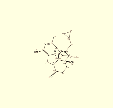 Cc1cc(O)c2c3c1C[C@H]1N(CC4CC4)CC[C@@]34C(O2)C(=O)CC[C@@]14O